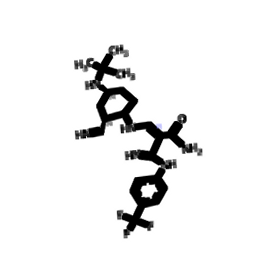 CC(C)(C)N[C@H]1CCC(N/C=C(\C(=N)Nc2ccc(C(F)(F)F)cc2)C(N)=O)[C@@H](C=N)C1